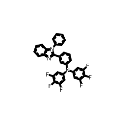 Fc1cc(N(c2cccc(-c3nc4ccccc4n3-c3ccccc3)c2)c2cc(F)c(F)c(F)c2)cc(F)c1F